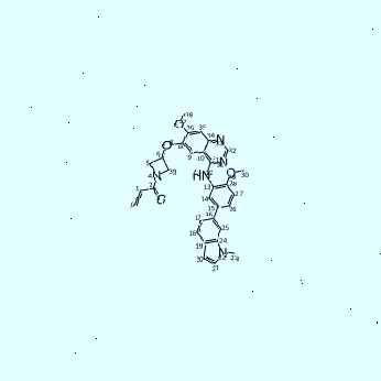 C=CC(=O)N1CC(Oc2cc3c(Nc4cc(-c5ccc6ccn(C)c6c5)ccc4OC)ncnc3cc2OC)C1